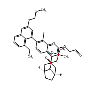 CCc1cccc2cc(OCOC)cc(-c3ncc4c(N5C[C@H]6CC[C@@H](C5)N6C(=O)OC(C)(C)C)nc(OCC=O)nc4c3F)c12